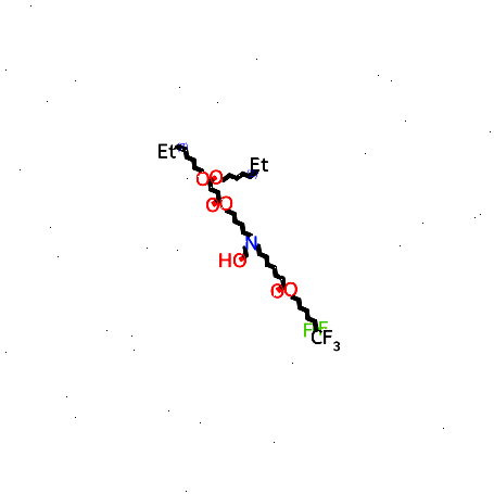 CC/C=C\CCCCOC(CCC(=O)OCCCCCCN(CCO)CCCCCCCC(=O)OCCCCCCC(F)(F)C(F)(F)F)OCCCC/C=C\CC